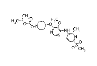 COc1c(Nc2ccc(S(C)(=O)=O)nc2C)ncnc1OC1CCN(OC(=O)OC(C)C)CC1